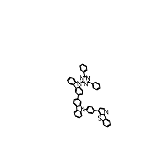 c1ccc(-c2nc(-c3ccccc3)nc(-n3c4ccccc4c4cc(-c5ccc6c7ccccc7n(-c7ccc(-c8ccnc9c8sc8ccccc89)cc7)c6c5)ccc43)n2)cc1